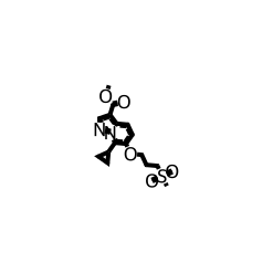 COC(=O)c1cnn2c(C3CC3)c(OCCCS(C)(=O)=O)ccc12